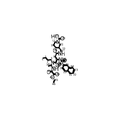 CCCCN(C(=O)C(CC(=O)N[C@@H](C)C1CCCN(C(=O)O)C1)NS(=O)(=O)c1ccc2ccccc2c1)C(C)NC(=O)C(=O)OCC